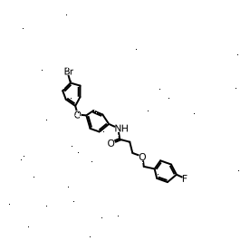 O=C(CCOCc1ccc(F)cc1)Nc1ccc(Oc2ccc(Br)cc2)cc1